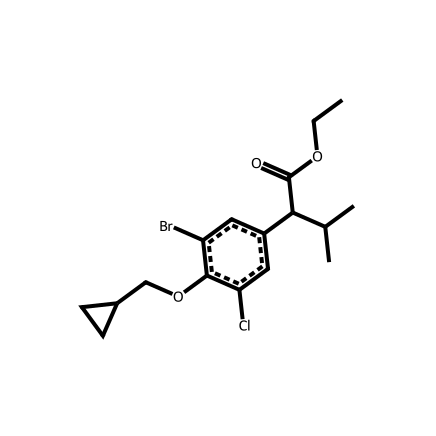 CCOC(=O)C(c1cc(Cl)c(OCC2CC2)c(Br)c1)C(C)C